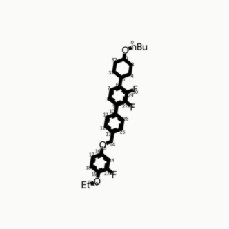 CCCCOC1CCC(c2ccc(-c3ccc(COc4ccc(OCC)c(F)c4)cc3)c(F)c2F)CC1